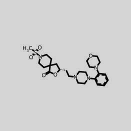 CS(=O)(=O)N1CCC2(CC1)C[C@H](CCN1CCN(c3ccccc3N3CCOCC3)CC1)OC2=O